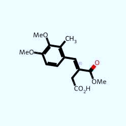 COC(=O)/C(=C/c1ccc(OC)c(OC)c1C)CC(=O)O